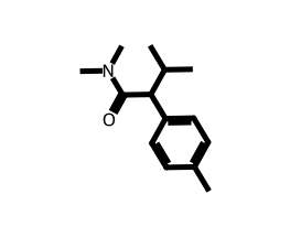 Cc1ccc(C(C(=O)N(C)C)C(C)C)cc1